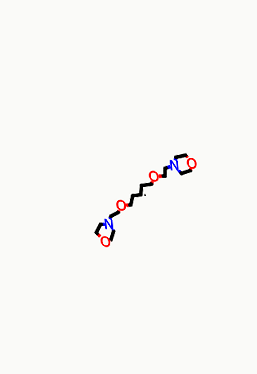 [CH](CCOCCN1CCOCC1)CCOCCN1CCOCC1